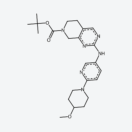 COC1CCN(c2ccc(Nc3ncc4c(n3)CN(C(=O)OC(C)(C)C)CC4)cn2)CC1